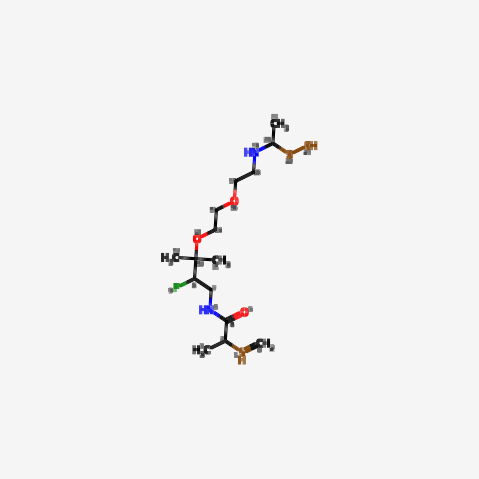 C=[SH]C(C)C(=O)NCC(F)C(C)(C)OCCOCCNC(C)SS